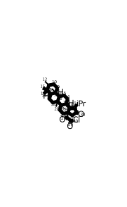 CC(C)C1=C2[C@H]3CC[C@@H]4[C@@]5(C)CC[C@H](C)C(C)(C)[C@@H]5CC[C@@]4(C)[C@]3(C)CC[C@@]2(C(=O)C(=O)Cl)CC1=O